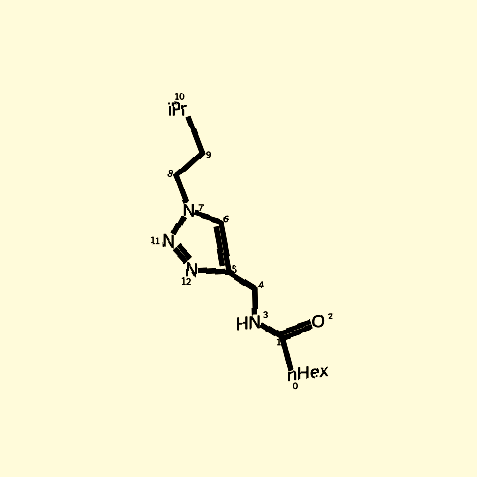 CCCCCCC(=O)NCc1cn(CCC(C)C)nn1